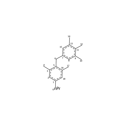 CCCc1cc(C)c(Cc2cc(C)c(C)c(C)c2)c(C)c1